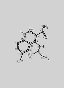 CC(C)Nc1c(C(N)=O)nnc2ccc(Cl)cc12